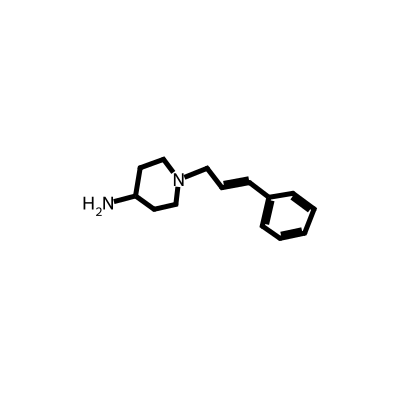 NC1CCN(C/C=C/c2ccccc2)CC1